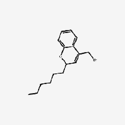 CCCCCCC1C=C(CBr)c2ccccc2O1